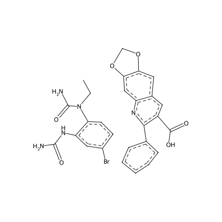 CCN(C(N)=O)c1ccc(Br)cc1NC(N)=O.O=C(O)c1cc2cc3c(cc2nc1-c1ccccc1)OCO3